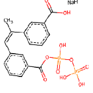 CC(=Cc1cccc(C(=O)OP(=O)(O)OP(=O)(O)O)c1)c1cccc(C(=O)O)c1.[NaH]